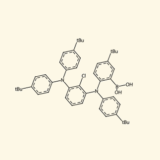 CC(C)(C)c1ccc(N(c2ccc(C(C)(C)C)cc2)c2cccc(N(c3ccc(C(C)(C)C)cc3)c3ccc(C(C)(C)C)cc3B(O)O)c2Cl)cc1